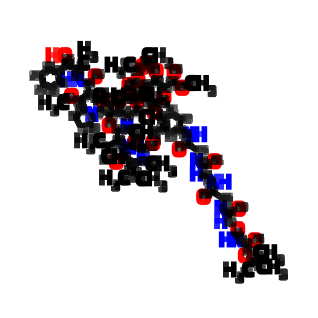 CC[C@H](C)[C@@H]([C@@H](CC(=O)N1CCC[C@H]1[C@H](OC)[C@@H](C)C(=O)N[C@H](C)[C@@H](O)c1ccccc1)OC)N(C)C(=O)[C@@H](NC(=O)[C@H](C(C)C)N(C)C(=O)OCc1cc(NC(=O)CNC(=O)CNC(=O)CNC(=O)CONC(=O)OC(C)(C)C)ccc1O[C@@H]1OC(C(=O)OC)[C@@H](OC(C)=O)C(OC(C)=O)C1OC(C)=O)C(C)C